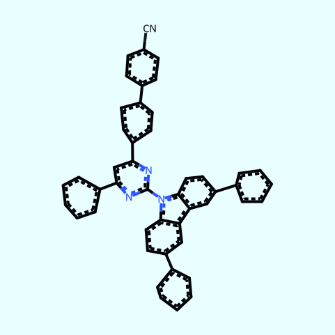 N#Cc1ccc(-c2ccc(-c3cc(-c4ccccc4)nc(-n4c5ccc(-c6ccccc6)cc5c5cc(-c6ccccc6)ccc54)n3)cc2)cc1